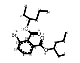 CCCC(CC)OC(=O)c1cccc(Br)c1C(=O)OC(CC)CCC